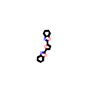 c1ccc2oc(-c3ccc(-c4nc5ccccc5o4)o3)nc2c1